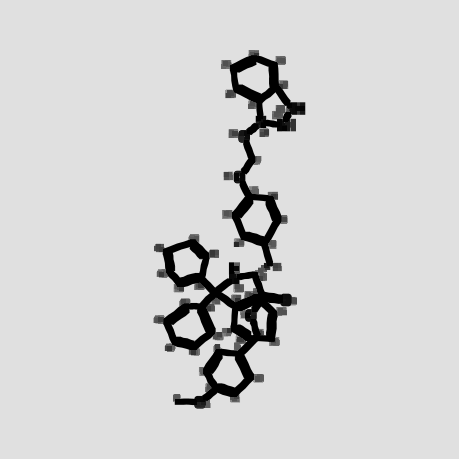 COc1ccc(COC(=O)[C@@H](Cc2ccc(OCON3NNc4ccccc43)cc2)NC(c2ccccc2)(c2ccccc2)c2ccccc2)cc1